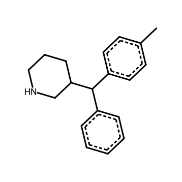 Cc1ccc(C(c2ccccc2)C2CCCNC2)cc1